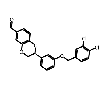 O=Cc1ccc2c(c1)OC[C@H](c1cccc(OCc3ccc(Cl)c(Cl)c3)c1)O2